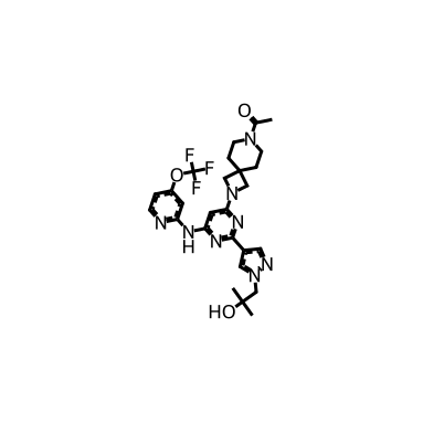 CC(=O)N1CCC2(CC1)CN(c1cc(Nc3cc(OC(F)(F)F)ccn3)nc(-c3cnn(CC(C)(C)O)c3)n1)C2